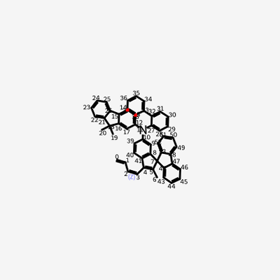 C=C/C=C\C1=C(C)C2(c3cc(N(c4ccc5c(c4)C(C)(C)c4ccccc4-5)c4ccccc4-c4ccccc4)ccc31)c1ccccc1-c1ccccc12